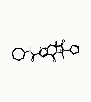 CCN1C(=O)c2cc(C(=O)NC3CCCCCC3)nn2CC1(C)C(=O)NC1CCCC1